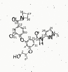 CC(CO)Oc1cc(Oc2ccc(C(=O)N3CCC3)cc2Cl)cc(C(=O)Nc2ccn(C)n2)c1